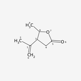 C=C(C)C1CC(=O)OC1C